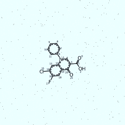 O=C(O)c1cn(-c2ccccc2)c2cc(Cl)c(F)cc2c1=O